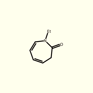 CCN1C=CC=CCC1=O